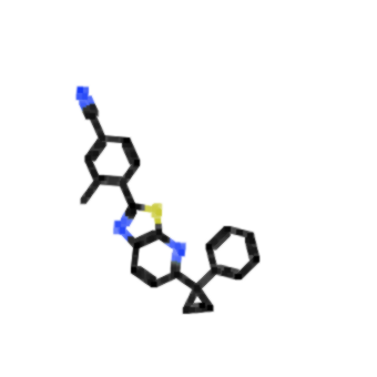 Cc1cc(C#N)ccc1-c1nc2ccc(C3(c4ccccc4)C=C3)nc2s1